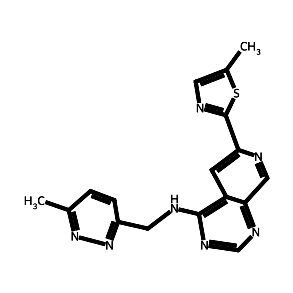 Cc1ccc(CNc2ncnc3cnc(-c4ncc(C)s4)cc23)nn1